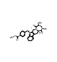 CCCCC1CN(CCC)C(=O)[C@H]2Cc3c(n(Cc4ccc(C(=O)OC(C)(C)C)cc4)c4ccccc34)[C@H](C)N2C1=O